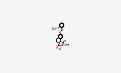 COC(=O)[C@H]1c2ccc(OCc3ccccc3OC)cc2CCN1C(=O)OC(C)(C)C